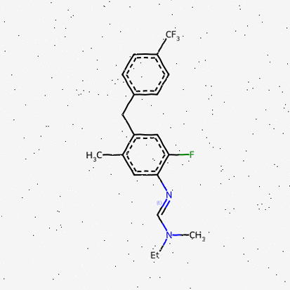 CCN(C)/C=N/c1cc(C)c(Cc2ccc(C(F)(F)F)cc2)cc1F